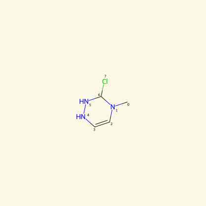 CN1C=CNNC1Cl